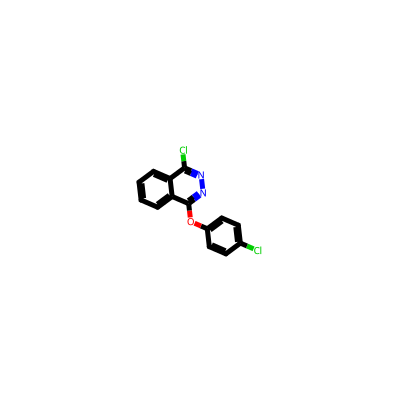 Clc1ccc(Oc2nnc(Cl)c3ccccc23)cc1